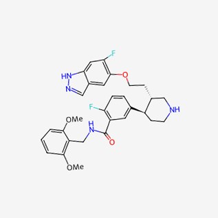 COc1cccc(OC)c1CNC(=O)c1cc([C@@H]2CCNC[C@H]2CCOc2cc3cn[nH]c3cc2F)ccc1F